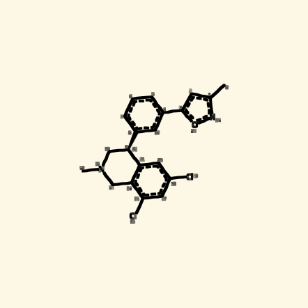 Cc1cc(-c2cccc([C@@H]3CN(C)Cc4c(Cl)cc(Cl)cc43)c2)on1